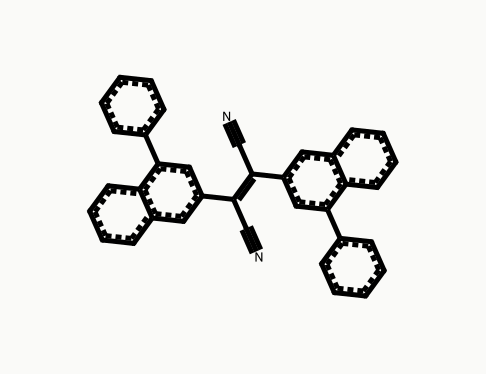 N#C/C(=C(/C#N)c1cc(-c2ccccc2)c2ccccc2c1)c1cc(-c2ccccc2)c2ccccc2c1